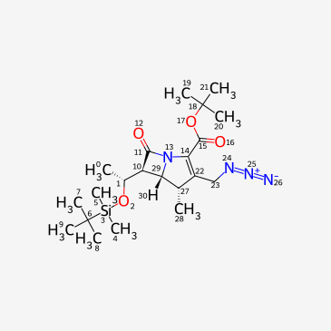 C[C@@H](O[Si](C)(C)C(C)(C)C)[C@H]1C(=O)N2C(C(=O)OC(C)(C)C)=C(CN=[N+]=[N-])[C@H](C)[C@H]12